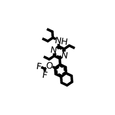 CCc1nc(-c2cc3c(cc2OC(F)F)CCCC3)c(CC)nc1NC(CC)CC